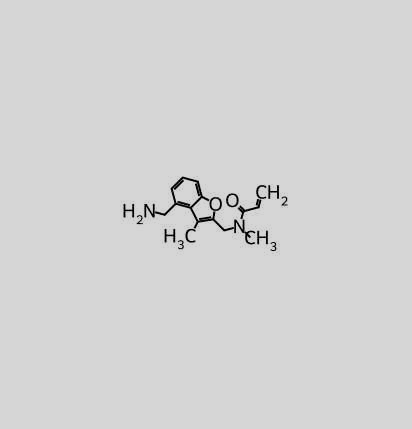 C=CC(=O)N(C)Cc1oc2cccc(CN)c2c1C